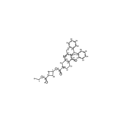 CCOC(=O)C1CC(OC(=O)N2CCc3c(nc(C)n(C(c4ccccc4)c4ccccc4)c3=O)C2)C1